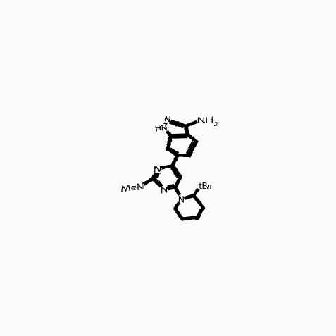 CNc1nc(-c2ccc3c(N)n[nH]c3c2)cc(N2CCC[CH]C2C(C)(C)C)n1